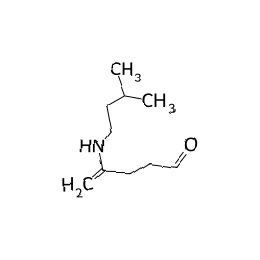 C=C(CCC=O)NCCC(C)C